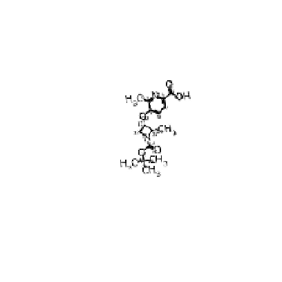 Cc1nc(C(=O)O)ccc1O[C@H]1CN(C(=O)OC(C)(C)C)[C@@H]1C